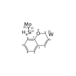 C1=Cc2ccccc2OC1.[Mo].[SiH4].[W].[Y]